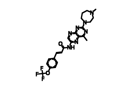 Cc1nc(N2CCCN(C)CC2)nc2ncc(NC(=O)C=Cc3ccc(OC(F)(F)F)cc3)nc12